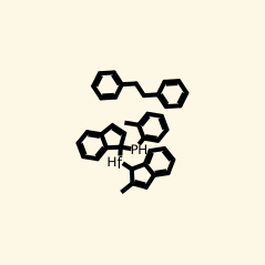 CC1=Cc2ccccc2[CH]1[Hf][C]1(Pc2ccccc2C)C=Cc2ccccc21.c1ccc(CCc2ccccc2)cc1